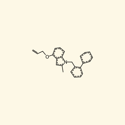 C=CCOc1cccc2c1cc(C)n2Cc1ccccc1-c1ccccc1